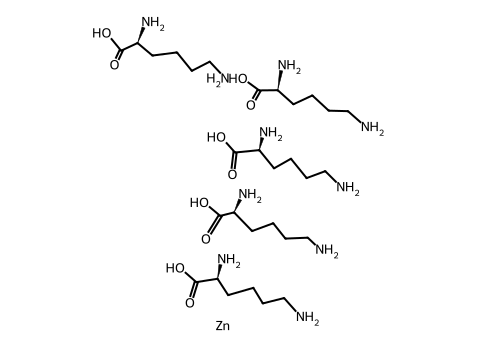 NCCCC[C@H](N)C(=O)O.NCCCC[C@H](N)C(=O)O.NCCCC[C@H](N)C(=O)O.NCCCC[C@H](N)C(=O)O.NCCCC[C@H](N)C(=O)O.[Zn]